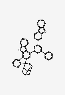 c1ccc(-c2cc(-c3ccc4c(c3)oc3ccccc34)cc(-c3cc4c(c5oc6ccccc6c35)-c3ccccc3C43C4CC5CC(C4)CC3C5)c2)cc1